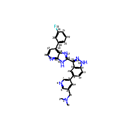 CN(C)Cc1cncc(-c2ccc3[nH]nc(-c4nc5c(-c6cccc(F)c6)ccnc5[nH]4)c3c2)c1